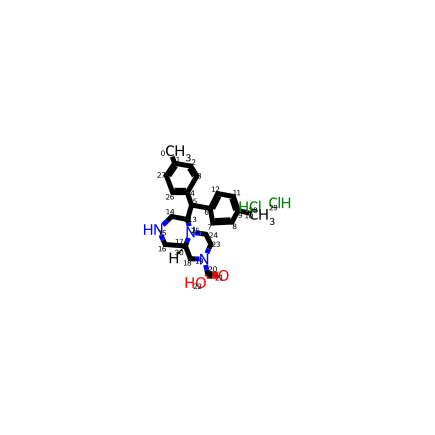 Cc1ccc(C(c2ccc(C)cc2)C2CNC[C@@H]3CN(C(=O)O)CCN23)cc1.Cl.Cl